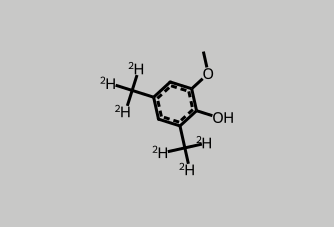 [2H]C([2H])([2H])c1cc(OC)c(O)c(C([2H])([2H])[2H])c1